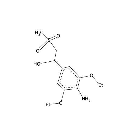 CCOc1cc(C(O)CS(C)(=O)=O)cc(OCC)c1N